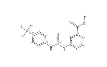 COC(=O)c1cccc(NC(=S)Nc2ccc(C(C)(C)C)cc2)c1